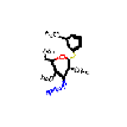 CC(=O)OCC1O[C@H](Sc2cccc(C(F)(F)F)c2)[C@@H](OC(C)=O)C(N=[N+]=[N-])[C@H]1OC(C)=O